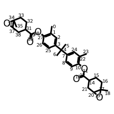 Cc1cc(C(C)(C)c2ccc(OC(=O)C3CCC4(C)OC4C3)c(C)c2)ccc1OC(=O)C1CCC2(C)OC2C1